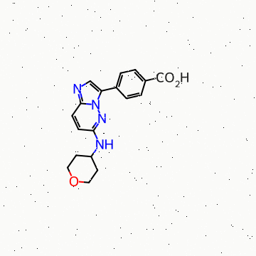 O=C(O)c1ccc(-c2cnc3ccc(NC4CCOCC4)nn23)cc1